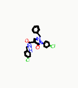 O=C(NCc1ccc(Cl)cc1)c1cn(Cc2ccccc2)n(-c2ccc(Cl)cc2)c1=O